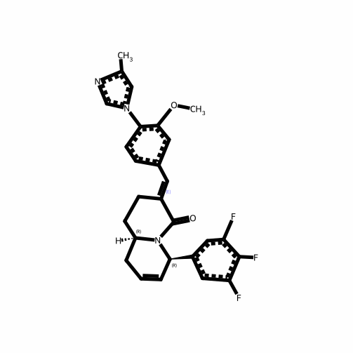 COc1cc(/C=C2\CC[C@@H]3CC=C[C@H](c4cc(F)c(F)c(F)c4)N3C2=O)ccc1-n1cnc(C)c1